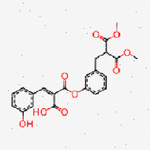 COC(=O)C(Cc1cccc(OC(=O)C(=Cc2cccc(O)c2)C(=O)O)c1)C(=O)OC